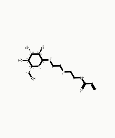 C=CC(=O)NCCOCCOC1O[C@H](CO)[C@@H](O)[C@H](O)[C@H]1O